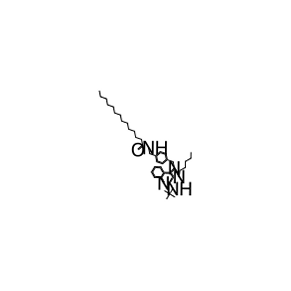 CCCCCCCCCCCCCC(=O)NCc1ccc(Cn2c(CCCC)nc3c(NC(C)(C)C)nc4ccccc4c32)cc1